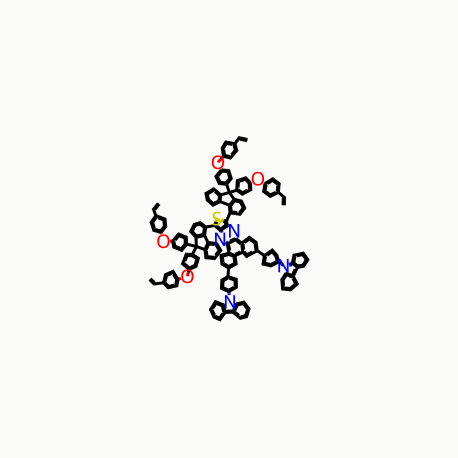 C=Cc1ccc(Oc2ccc(C3(c4ccc(Oc5ccc(C=C)cc5)cc4)c4ccccc4-c4c(-c5sc(-c6cccc7c6-c6ccccc6C7(c6ccc(Oc7ccc(C=C)cc7)cc6)c6ccc(Oc7ccc(C=C)cc7)cc6)c6nc7c8ccc(-c9ccc(-n%10c%11ccccc%11c%11ccccc%11%10)cc9)cc8c8cc(-c9ccc(-n%10c%11ccccc%11c%11ccccc%11%10)cc9)ccc8c7nc56)cccc43)cc2)cc1